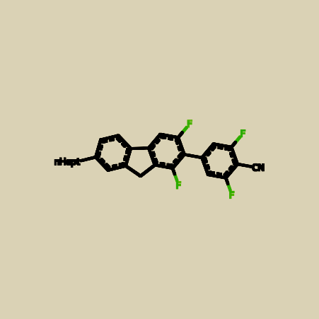 CCCCCCCc1ccc2c(c1)Cc1c-2cc(F)c(-c2cc(F)c(C#N)c(F)c2)c1F